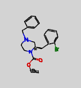 CC(C)(C)OC(=O)N1CCN(Cc2ccccc2)C[C@H]1Cc1ccccc1Br